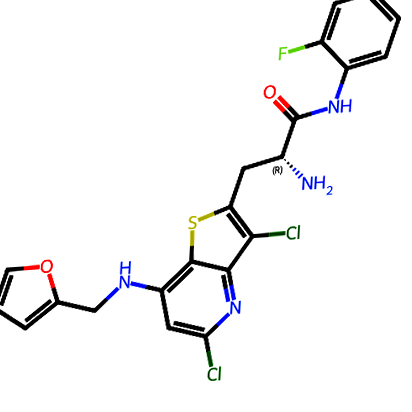 N[C@H](Cc1sc2c(NCc3ccco3)cc(Cl)nc2c1Cl)C(=O)Nc1ccccc1F